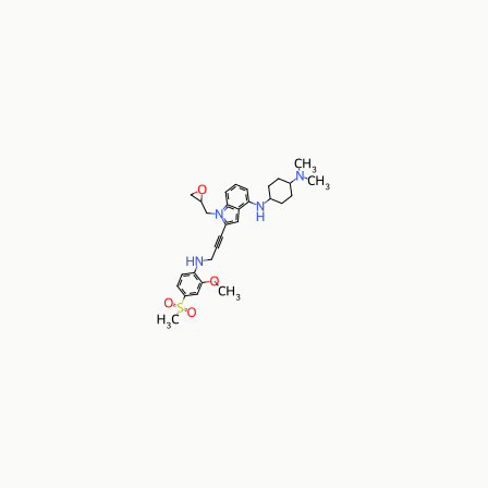 COc1cc(S(C)(=O)=O)ccc1NCC#Cc1cc2c(NC3CCC(N(C)C)CC3)cccc2n1CC1CO1